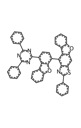 c1ccc(-c2nc(-c3ccccc3)nc(-c3ccc(-c4c5nc(-c6ccccc6)sc5cc5oc6ccccc6c45)c4oc5ccccc5c34)n2)cc1